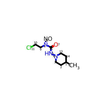 CC1CCN(NC(=O)N(CCCl)N=O)CC1